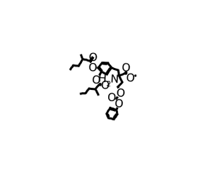 CCCC(C)C(=O)Oc1ccc(C[C@](N)(CCOC(=O)Oc2ccccc2)C(=O)OC)cc1OC(=O)C(C)CCC